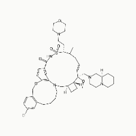 CO[C@]1(CN2CCN3CCCC[C@@H]3C2)/C=C/CC(C)[C@@H](CCN2CCOCC2)S(=O)(=O)NC(=O)c2ccc3c(c2)N(CCCCc2cc(Cl)ccc2CO3)C[C@@H]2CC[C@H]21